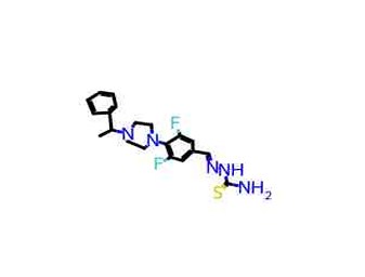 CC(c1ccccc1)N1CCN(c2c(F)cc(C=NNC(N)=S)cc2F)CC1